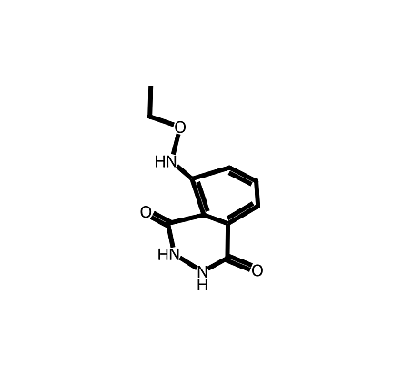 CCONc1cccc2c(=O)[nH][nH]c(=O)c12